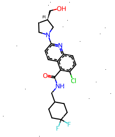 O=C(NCC1CCC(F)(F)CC1)c1c(Cl)ccc2nc(N3CC[C@@H](CO)C3)ccc12